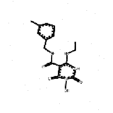 CCNc1[nH]c(=O)n(O)c(=O)c1C(=O)NCc1cccc(C)c1